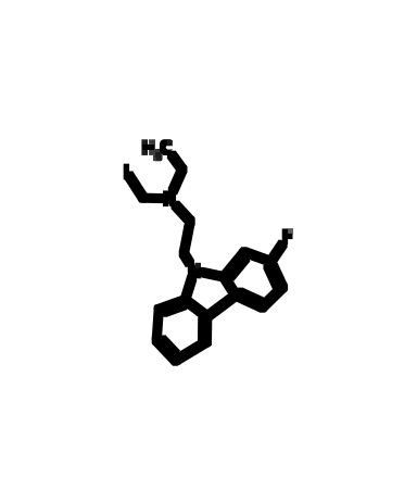 CCN(CI)CCn1c2ccccc2c2ccc(F)cc21